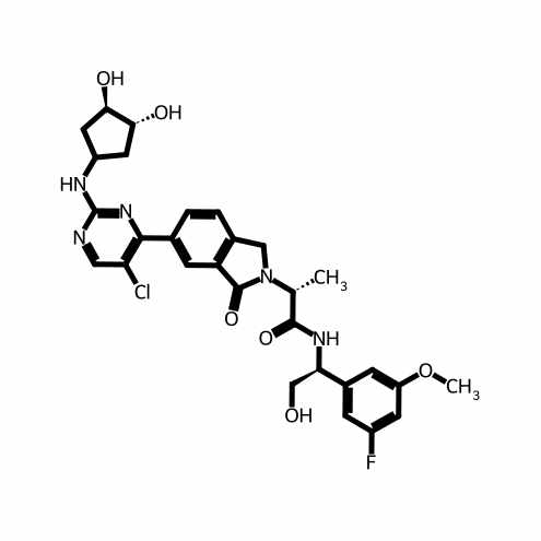 COc1cc(F)cc([C@@H](CO)NC(=O)[C@@H](C)N2Cc3ccc(-c4nc(NC5C[C@@H](O)[C@H](O)C5)ncc4Cl)cc3C2=O)c1